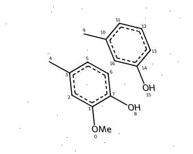 COc1cc(C)ccc1O.Cc1cccc(O)c1